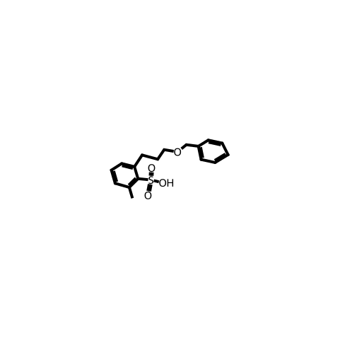 Cc1cccc(CCCOCc2ccccc2)c1S(=O)(=O)O